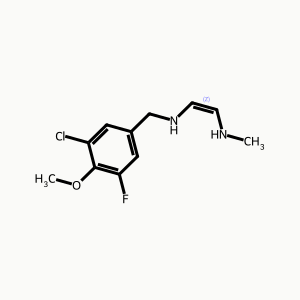 CN/C=C\NCc1cc(F)c(OC)c(Cl)c1